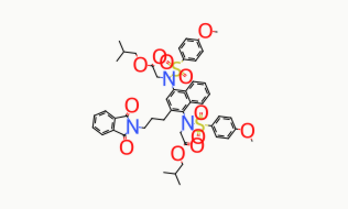 COc1ccc(S(=O)(=O)N(CC(=O)OCC(C)C)c2cc(CCCN3C(=O)c4ccccc4C3=O)c(N(CC(=O)OCC(C)C)S(=O)(=O)c3ccc(OC)cc3)c3ccccc23)cc1